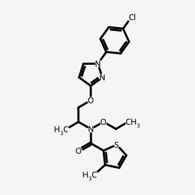 CCON(C(=O)c1sccc1C)C(C)COc1ccn(-c2ccc(Cl)cc2)n1